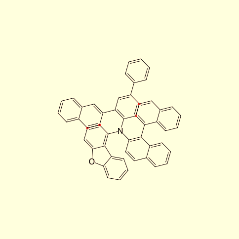 c1ccc(-c2ccc(N(c3ccc4ccccc4c3-c3cccc4ccccc34)c3cccc4oc5ccccc5c34)c(-c3ccc4ccccc4c3)c2)cc1